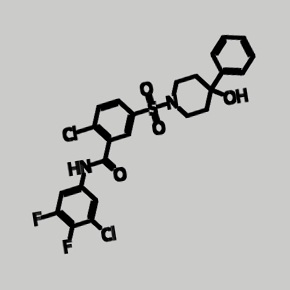 O=C(Nc1cc(F)c(F)c(Cl)c1)c1cc(S(=O)(=O)N2CCC(O)(c3ccccc3)CC2)ccc1Cl